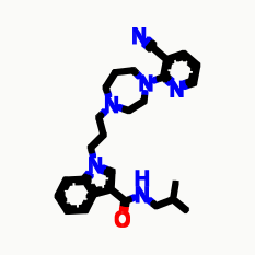 CC(C)CNC(=O)c1cn(CCCN2CCCN(c3ncccc3C#N)CC2)c2ccccc12